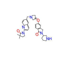 CC1(C)CCN(c2ccc3cc(CN4CC[C@H](Oc5ccc6c(c5)CN(C5CCCNC5)C6=O)C4)ccc3n2)C1=O